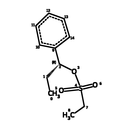 CC[C@@H](OS(=O)(=O)CC)c1ccccc1